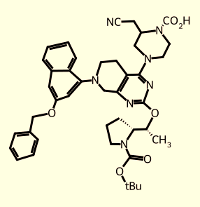 C[C@@H](Oc1nc2c(c(N3CCN(C(=O)O)C(CC#N)C3)n1)CCN(c1cc(OCc3ccccc3)cc3ccccc13)C2)[C@H]1CCCN1C(=O)OC(C)(C)C